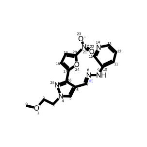 COCCn1cc(/C=N/Nc2cccnc2)c(-c2ccc([N+](=O)[O-])o2)n1